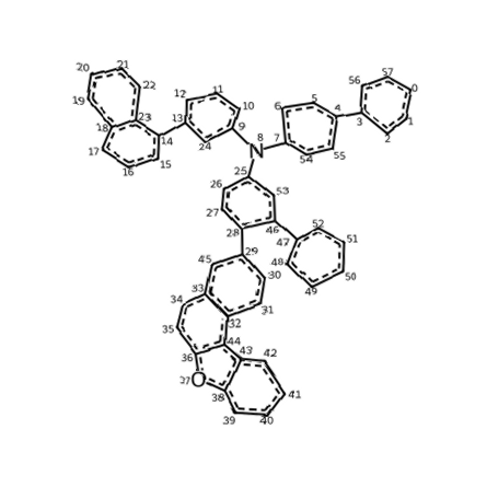 c1ccc(-c2ccc(N(c3cccc(-c4cccc5ccccc45)c3)c3ccc(-c4ccc5c(ccc6oc7ccccc7c65)c4)c(-c4ccccc4)c3)cc2)cc1